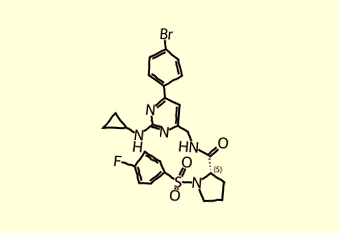 O=C(NCc1cc(-c2ccc(Br)cc2)nc(NC2CC2)n1)[C@@H]1CCCN1S(=O)(=O)c1ccc(F)cc1